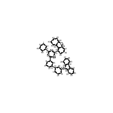 c1ccc(-c2nc(-c3cccc(-c4cccc(-n5c6ccccc6c6ccccc65)c4)c3)nc(-c3cccc4oc5ccccc5c34)n2)cc1